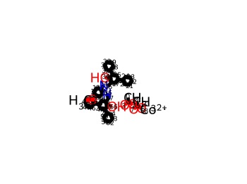 CC(=O)[O-].CC(=O)[O-].COc1ccc(N=Cc2cc(-c3ccccc3)cc(-c3ccccc3)c2O)c(N=Cc2cc(-c3ccccc3)cc(-c3ccccc3)c2O)c1.[Co+2]